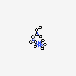 c1ccc(-c2cccc(-c3cc(-c4cccc(-n5c6ccccc6c6c7c8ccccc8n(-c8nc(-c9ccccc9)nc(-c9ccccc9-c9ccccc9)n8)c7ccc65)c4)cc(-c4ccccc4)n3)c2)cc1